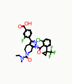 CCN(C)C(=O)N1CCc2c(-c3ccc(C(=O)O)cc3F)nn(C(=O)c3c(Cl)cccc3C3(C(F)(F)F)CC3)c2C1